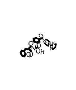 COc1ccccc1CC1C(=O)N(C(=O)O)C1Oc1ccc(C(=O)N2CCN(c3ncccn3)CC2)cc1